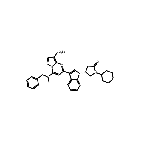 CCOC(=O)c1cnn2c(N(C)Cc3ccccc3)cc(-c3cn([C@@H]4CC(=O)N(C5CCOCC5)C4)c4ncccc34)nc12